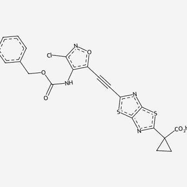 O=C(Nc1c(Cl)noc1C#Cc1nc2sc(C3(C(=O)O)CC3)nc2s1)OCc1ccccc1